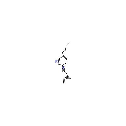 C=C[C@H](C)C/N=C(C)/C=C\C(=C)CCCC